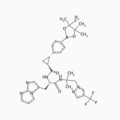 CC(C)(Cn1cc(C(F)(F)F)cn1)NC(=O)[C@@H](Cc1cnc2ncccn12)NC(=O)[C@H]1C[C@@H]1c1ccc(B2OC(C)(C)C(C)(C)O2)cc1